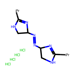 CC(C)C1=NC(N=NC2CNC(C(C)C)=N2)CN1.Cl.Cl.Cl.Cl